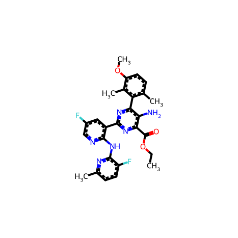 CCOC(=O)c1nc(-c2cc(F)cnc2Nc2nc(C)ccc2F)nc(-c2c(C)ccc(OC)c2C)c1N